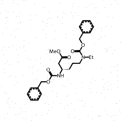 CCN(CCC[C@@H](CC(=O)OC)NC(=O)OCc1ccccc1)C(=O)OCc1ccccc1